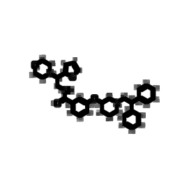 O=C(NCC(c1ccco1)N1CCOCC1)c1cccc(OC2CCCN(CC(c3ccccc3)c3ccccc3)C2)c1